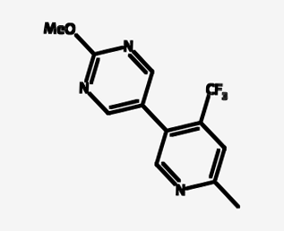 COc1ncc(-c2cnc(C)cc2C(F)(F)F)cn1